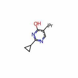 CC(C)c1cnc(C2CC2)nc1O